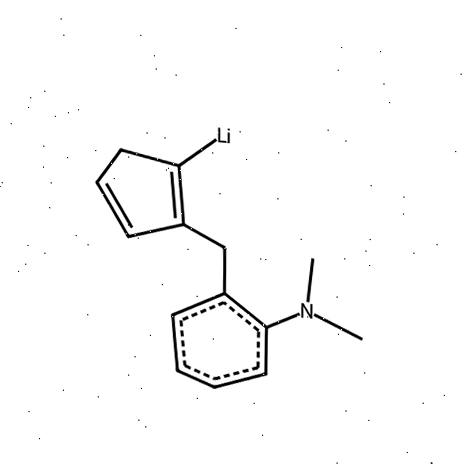 [Li][C]1=C(Cc2ccccc2N(C)C)C=CC1